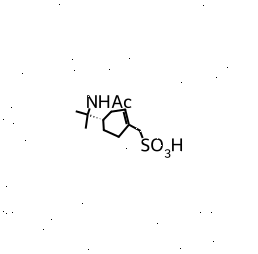 CC(=O)NC(C)(C)[C@@H]1CC=C(CS(=O)(=O)O)CC1